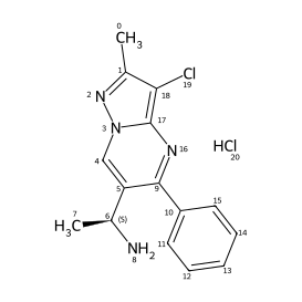 Cc1nn2cc([C@H](C)N)c(-c3ccccc3)nc2c1Cl.Cl